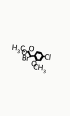 COC(=O)C(Br)c1ccc(Cl)cc1OC